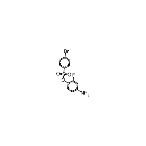 Nc1ccc(OS(=O)(=O)c2ccc(Br)cc2)c(F)c1